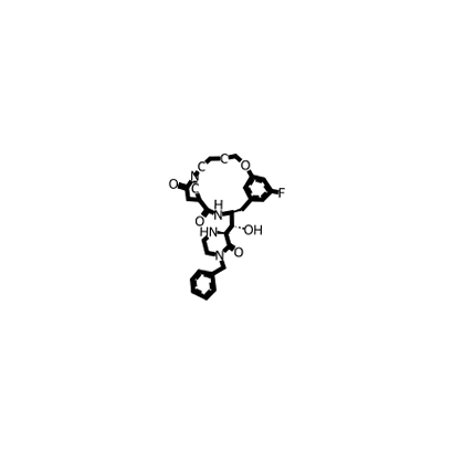 O=C1N[C@H]([C@H](O)[C@@H]2NCCN(Cc3ccccc3)C2=O)Cc2cc(F)cc(c2)OCCCCN2CC1CC2=O